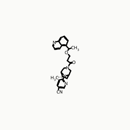 CC(OCCC(=O)N1CC2C[C@H](C)C(C1)N2c1ccc(C#N)cn1)c1cccc2ncccc12